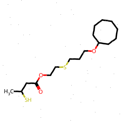 CC(S)CC(=O)OCCSCCCOC1CCCCCCC1